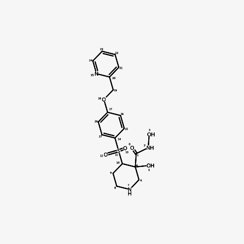 O=C(NO)C1(O)CNCCC1S(=O)(=O)c1ccc(OCc2ccccn2)cc1